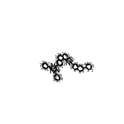 c1ccc(-c2ccc3ccc(-c4nc5c(ccc6ccc7cc(-c8nc(-c9ccccc9)nc(-c9ccccc9)n8)ccc7c65)s4)cc3c2)cc1